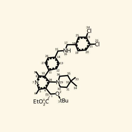 CCOC(=O)[C@@H](OC(C)(C)C)c1c(C)nc(C)c(-c2ccc(CNCc3ccc(Cl)c(Cl)c3)cc2)c1N1CCC(C)(C)CC1